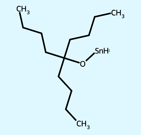 CCCCC(CCCC)(CCCC)[O][SnH]